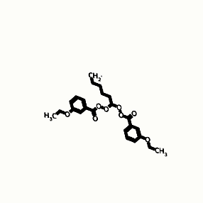 [CH2]CCCC[C](OOC(=O)c1cccc(OCC)c1)OOC(=O)c1cccc(OCC)c1